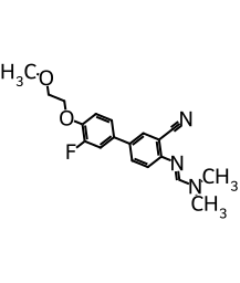 COCCOc1ccc(-c2ccc(N=CN(C)C)c(C#N)c2)cc1F